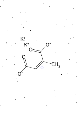 C/C(=C/C(=O)[O-])C(=O)[O-].[K+].[K+]